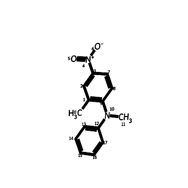 Cc1cc([N+](=O)[O-])ccc1N(C)c1ccccc1